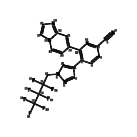 N#Cc1ccc(-c2cnn(CC(F)(F)C(F)(F)C(F)(F)F)c2)c(-c2ccn3ccnc3c2)n1